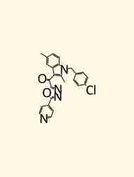 Cc1ccc2c(c1)c(C(=O)c1nnc(-c3ccncc3)o1)c(C)n2Cc1ccc(Cl)cc1